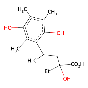 CCC(O)(CC(C)c1c(C)c(O)c(C)c(C)c1O)C(=O)O